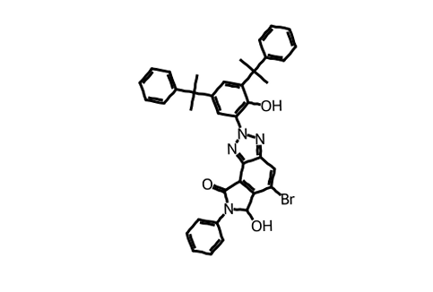 CC(C)(c1ccccc1)c1cc(-n2nc3cc(Br)c4c(c3n2)C(=O)N(c2ccccc2)C4O)c(O)c(C(C)(C)c2ccccc2)c1